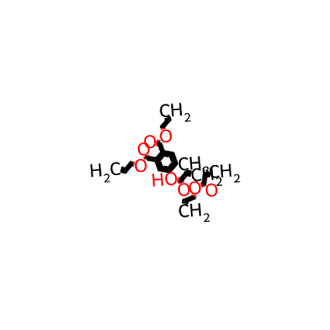 C=C(C)C(=O)O.C=CCOC(=O)C=C.C=CCOC(=O)c1ccccc1C(=O)OCC=C